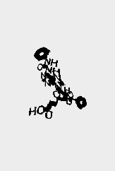 O=C(O)CC[C@H]1O[C@@H](n2cnc3c(NC(=O)Nc4ccccc4)ncnc32)[C@H]2O[C@@H](c3ccccc3)OC12